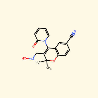 CC1(C)Oc2ccc(C#N)cc2C(n2ccccc2=O)=C1CNO